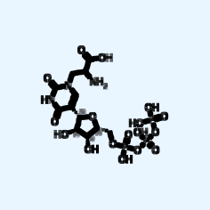 NC(Cn1cc([C@@H]2O[C@H](COP(=O)(O)OP(=O)(O)OP(=O)(O)O)[C@@H](O)[C@H]2O)c(=O)[nH]c1=O)C(=O)O